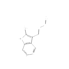 CCOOCc1c(N)[nH]c2ccncc12